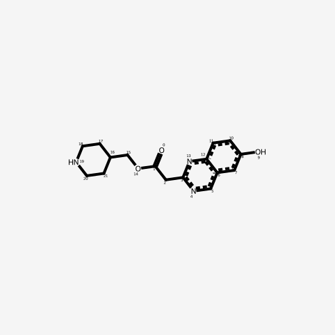 O=C(Cc1ncc2cc(O)ccc2n1)OCC1CCNCC1